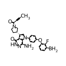 Bc1cccc(Oc2ccc(-n3cc([C@@H]4CCN(C(=O)C#CC)C4)c4c(=O)[nH]nc(N)c43)cc2)c1F